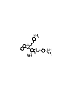 Cl.Cl.Cn1c(CCc2ccc(C(=N)N)cc2)nc2cc(N(Cc3cccc4ccccc34)C(=O)CCCc3ccc(N)cc3)ccc21